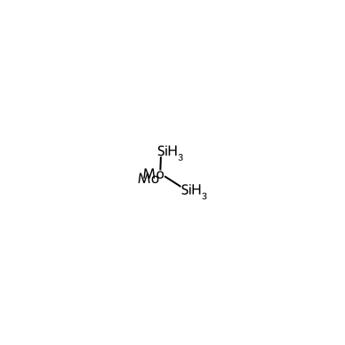 [Mo].[SiH3][Mo][SiH3]